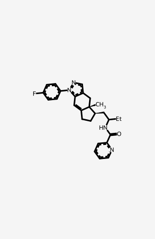 CCC(C[C@H]1CCC2=Cc3c(cnn3-c3ccc(F)cc3)C[C@@]21C)NC(=O)c1ccccn1